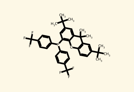 CC(C)(C)c1ccc2c(c1)C(C)(C)c1cc(C(C)(C)C)cc(P(c3ccc(C(F)(F)F)cc3)c3ccc(C(F)(F)F)cc3)c1O2